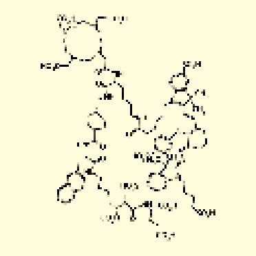 CC1(C)C(/C=C/C2=C(Oc3ccc(S(=O)(=O)O)cc3)C(=C/C=C3/N(CCCCS(=O)(=O)O)c4ccc(S(=O)(=O)O)cc4C3(C)C)/CCC2)=[N+](CCCCCC(=O)NCCCC[C@H](NC(=O)CN2CCN(CC(=O)O)CCN(CC(=O)O)CCN(CC(=O)O)CC2)C(=O)NC[C@H]2CC[C@H](C(=O)N[C@@H](Cc3ccc4ccccc4c3)C(=O)NCCCC[C@H](NC(=O)N[C@@H](CCC(=O)O)C(=O)O)C(=O)O)CC2)c2ccc(S(=O)(=O)O)cc21